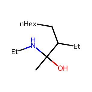 CCCCCCCC(CC)C(C)(O)NCC